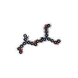 CC1(C)c2ccccc2-c2ccc(N(c3ccc(-c4ccc(-c5cccc6c5oc5ccccc56)cc4)cc3)c3ccc(-c4ccc(-c5cccc6c5oc5ccc(-c7ccc8c(c7)C(C)(C)c7cc(N(c9ccc(-c%10ccc(-c%11ccc%12oc%13ccccc%13c%12c%11)cc%10)cc9)c9ccc(-c%10ccc(-c%11ccc%12oc%13ccccc%13c%12c%11)cc%10)cc9)ccc7-8)cc56)cc4)cc3)cc21